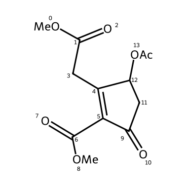 COC(=O)CC1=C(C(=O)OC)C(=O)CC1OC(C)=O